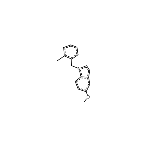 COc1ccc2c(ccn2Cc2ccccc2C)c1